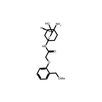 COCc1ccccc1OCC(=O)NC12CCC(N)(CC1)[C@@H](O)C2